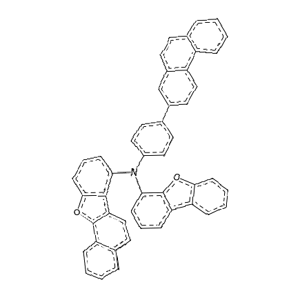 c1ccc2c(c1)ccc1cc(-c3ccc(N(c4cccc5c4oc4ccccc45)c4cccc5oc6c7ccccc7ccc6c45)cc3)ccc12